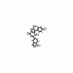 Nc1nn2c(=O)cc(-c3ccc4[nH]nnc4c3)[nH]c2c1-c1ccc(Cl)cc1